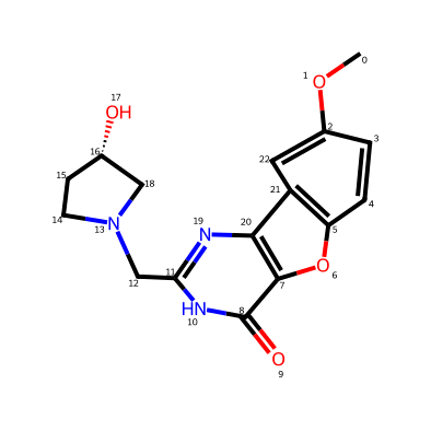 COc1ccc2oc3c(=O)[nH]c(CN4CC[C@H](O)C4)nc3c2c1